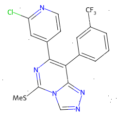 CSc1nc(-c2ccnc(Cl)c2)c(-c2cccc(C(F)(F)F)c2)c2nncn12